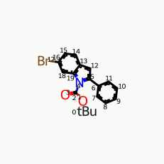 CC(C)(C)OC(=O)n1c(-c2ccccc2)cc2ccc(Br)cc21